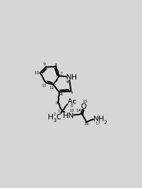 CC(=O)C(C)(Cc1c[nH]c2ccccc12)NC(=O)CN